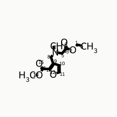 CCOC(=O)CN(C)Cc1ccoc1C(=O)OC